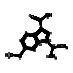 COc1ccc2c(C(=O)O)cn(C(C)C)c2c1